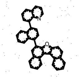 c1cnc2c(-c3ccc(-c4cc5ccccc5c5c4oc4ccc6ccccc6c45)c4ccccc34)cccc2c1